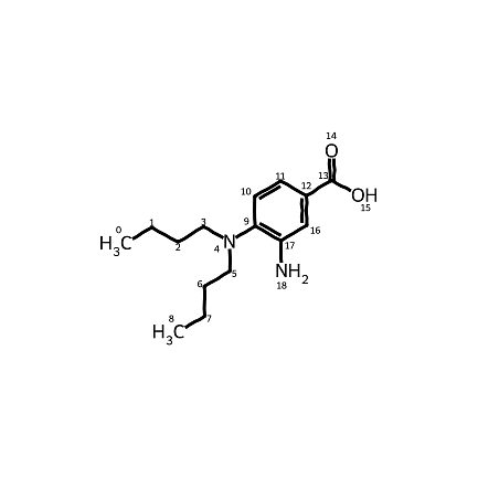 CCCCN(CCCC)c1ccc(C(=O)O)cc1N